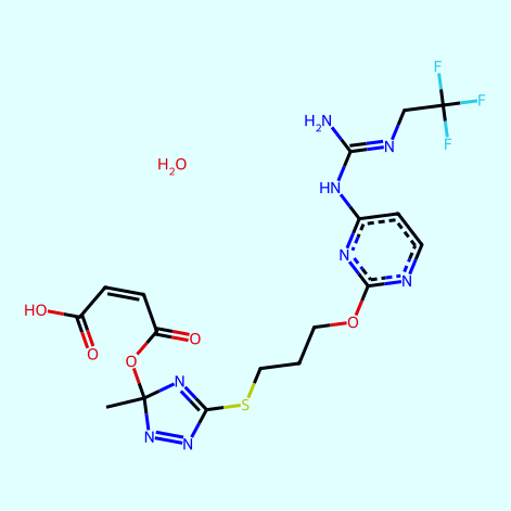 CC1(OC(=O)/C=C\C(=O)O)N=NC(SCCCOc2nccc(NC(N)=NCC(F)(F)F)n2)=N1.O